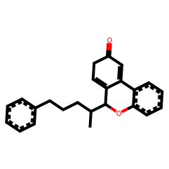 CC(CCCc1ccccc1)C1Oc2ccccc2C2=CC(=O)CC=C21